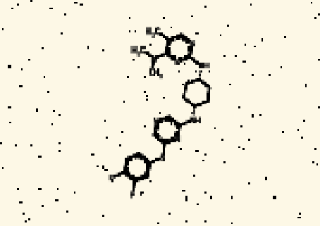 Cc1cnc(N[C@H]2CC[C@@H](Nc3cncc(Sc4ccc(F)c(F)c4)n3)CC2)nc1N(C)C